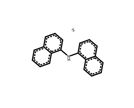 [S].c1ccc2c(Nc3cccc4ccccc34)cccc2c1